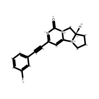 O=c1nc(C#Cc2cccc(F)c2)cc2n1C[C@@H]1CCCN21